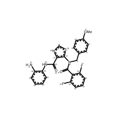 COc1ccc(CN(C(=O)c2c(F)cccc2F)c2scnc2C(=O)Nc2ccccc2N)cc1